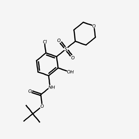 CC(C)(C)OC(=O)Nc1ccc(Cl)c(S(=O)(=O)C2CCOCC2)c1O